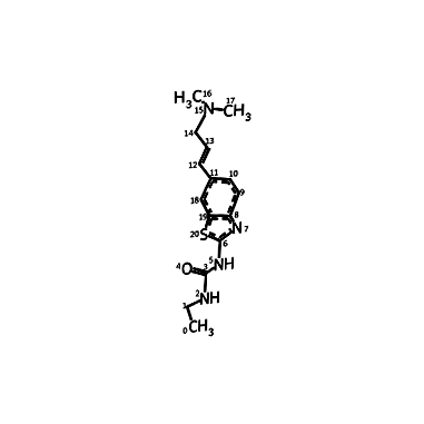 CCNC(=O)Nc1nc2ccc(/C=C/CN(C)C)cc2s1